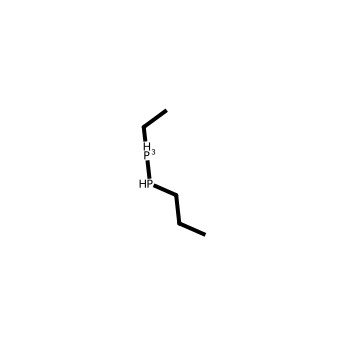 CCCP[PH3]CC